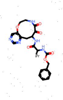 CC(C)C(NC(=O)OCc1ccccc1)C(=O)NC1Cc2ncncc2OCCNC(=O)C1=O